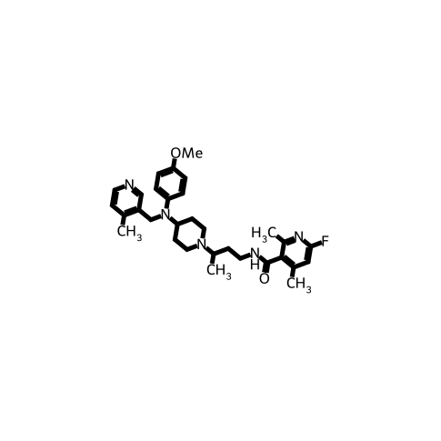 COc1ccc(N(Cc2cnccc2C)C2CCN(C(C)CCNC(=O)c3c(C)cc(F)nc3C)CC2)cc1